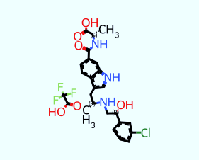 C[C@H](Cc1c[nH]c2cc(C(=O)N[C@@H](C)C(=O)O)ccc12)NC[C@H](O)c1cccc(Cl)c1.O=C(O)C(F)(F)F